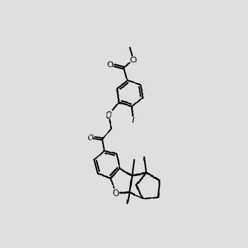 COC(=O)c1ccc(I)c(OCC(=O)c2ccc3c(c2)C2(C)C4(C)CCC(C4)C2(C)O3)c1